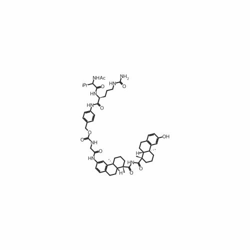 CC(=O)NC(C(=O)N[C@@H](CCCNC(N)=O)C(=O)Nc1ccc(COC(=O)NCC(=O)Nc2ccc3c(c2)[C@@]2(C)CCC[C@](C)(C(=O)NC(=O)[C@@]4(C)CCC[C@]5(C)c6cc(O)ccc6CC[C@@H]45)[C@@H]2CC3)cc1)C(C)C